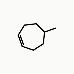 C[C]1CCC=CCC1